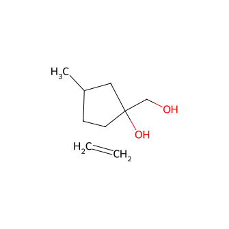 C=C.CC1CCC(O)(CO)C1